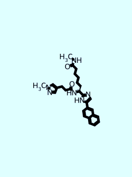 CNC(=O)CCCCC[C@H](NC(=O)CCc1cnn(C)c1)c1ncc(-c2ccc3ccccc3c2)[nH]1